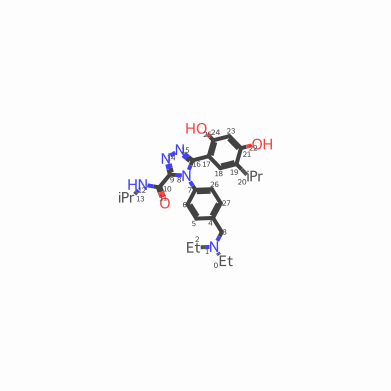 CCN(CC)Cc1ccc(-n2c(C(=O)NC(C)C)nnc2-c2cc(C(C)C)c(O)cc2O)cc1